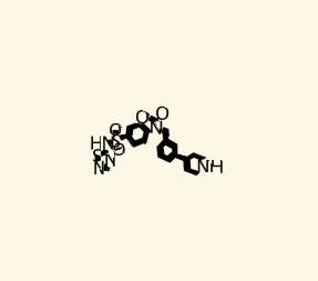 O=c1oc2cc(S(=O)(=O)Nc3ncns3)ccc2n1Cc1cccc(C2=CCNCC2)c1